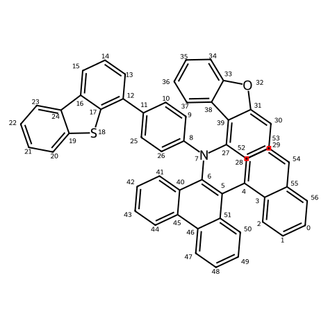 c1ccc2c(-c3c(N(c4ccc(-c5cccc6c5sc5ccccc56)cc4)c4cccc5oc6ccccc6c45)c4ccccc4c4ccccc34)cccc2c1